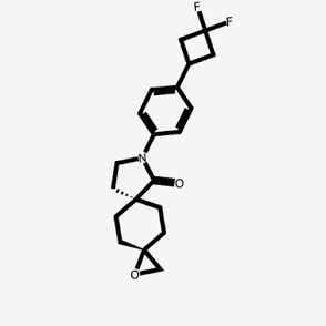 O=C1N(c2ccc(C3CC(F)(F)C3)cc2)CC[C@]12CC[C@@]1(CC2)CO1